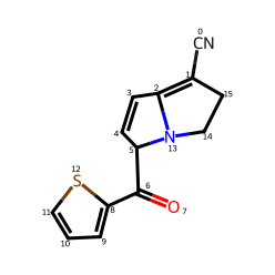 N#CC1=C2C=CC(C(=O)c3cccs3)N2CC1